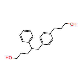 OCCC[C](Cc1ccc(CCCO)cc1)c1ccccc1